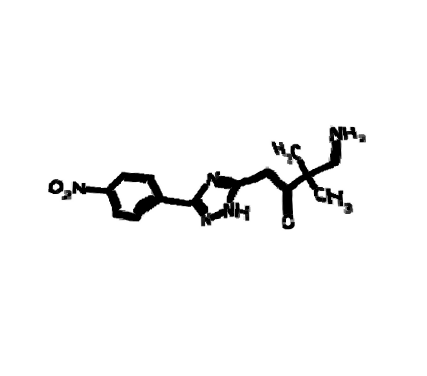 CC(C)(CN)C(=O)Cc1nc(-c2ccc([N+](=O)[O-])cc2)n[nH]1